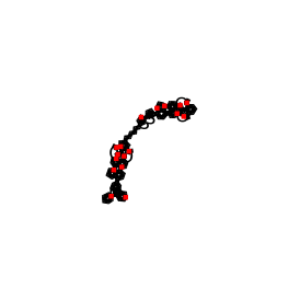 CC(C)c1cc(CCCCCCc2ccc(-c3ccc(-c4ccc5c6ccc7c8c(ccc(c9cccc4c95)c86)C(=O)N(c4c(C(C)C)cccc4C(C)C)C7=O)s3)s2)cc(C(C)C)c1N1C(=O)c2ccc3c4cccc5c(-c6ccc7c(c6)c6ccccc6n7-c6ccccc6)ccc(c6ccc(c2c36)C1=O)c54